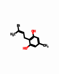 CC/C(C)=C/Cc1c(O)cc(C)cc1O